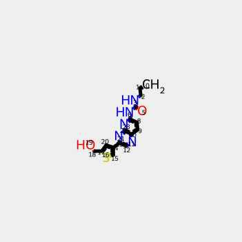 C=CCNC(=O)Nc1ccc2ncc(-c3csc(CO)c3)nc2n1